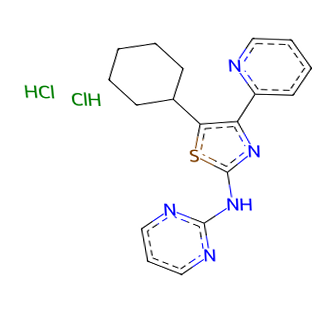 Cl.Cl.c1ccc(-c2nc(Nc3ncccn3)sc2C2CCCCC2)nc1